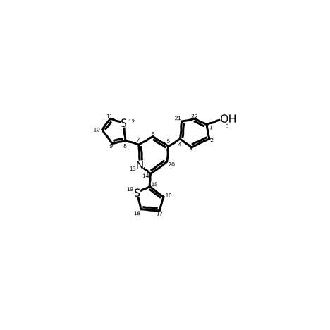 Oc1ccc(-c2cc(-c3cccs3)nc(-c3cccs3)c2)cc1